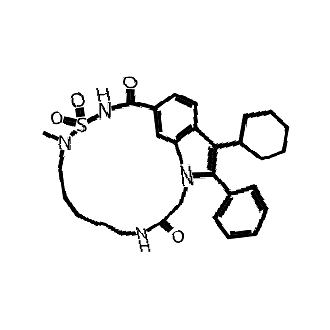 CN1CCCCCNC(=O)Cn2c(-c3ccccc3)c(C3CCCCC3)c3ccc(cc32)C(=O)NS1(=O)=O